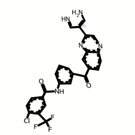 N=C/C(=C\N)c1cnc2ccc(C(=O)c3cccc(NC(=O)c4ccc(Cl)c(C(F)(F)F)c4)c3)cc2n1